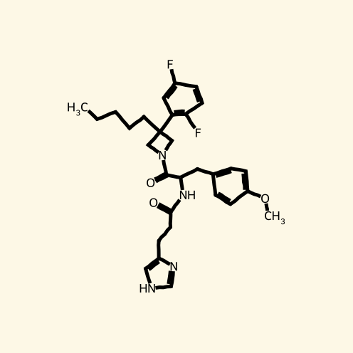 CCCCCC1(c2cc(F)ccc2F)CN(C(=O)C(Cc2ccc(OC)cc2)NC(=O)CCc2c[nH]cn2)C1